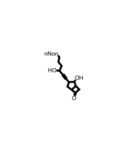 CCCCCCCCCCCCC(O)C#CC1CC2C(=O)CC2C1O